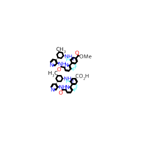 COC(=O)c1cc(F)c(-c2nc(C(=O)Nc3cnccc3[C@@H]3C[C@H](C)C[C@H](N)C3)ccc2F)c(F)c1.C[C@@H]1C[C@H](N)C[C@H](c2ccncc2NC(=O)c2ccc(F)c(-c3c(F)cc(C(=O)O)cc3F)n2)C1